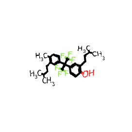 Cc1ccc(C(c2ccc(O)c(CCC(C)C)c2)(C(F)(F)F)C(F)(F)F)cc1CCC(C)C